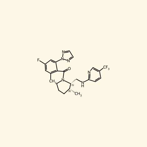 Cc1cc(F)cc(-n2nccn2)c1C(=O)N1CCC[C@@H](C)[C@H]1CNc1ccc(C(F)(F)F)cn1